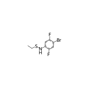 CCSNc1cc(F)c(Br)cc1F